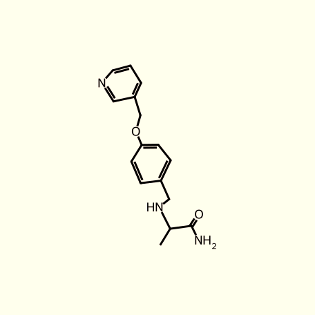 CC(NCc1ccc(OCc2cccnc2)cc1)C(N)=O